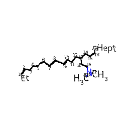 CC/C=C\CCCCCCCCCCC(C/C=C\CCCCCCC)CCN(C)C